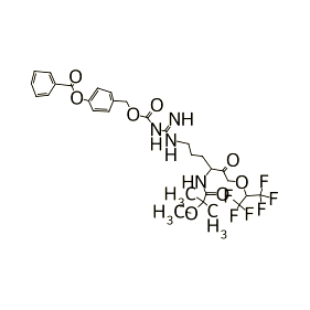 COC(C)(C)C(=O)NC(CCCNC(=N)NC(=O)OCc1ccc(OC(=O)c2ccccc2)cc1)C(=O)COC(C(F)(F)F)C(F)(F)F